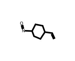 C=CC1CCC(N=O)CC1